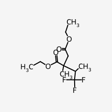 CCOC(=O)CC(C)(C(=O)OCC)C(C)C(F)(F)F